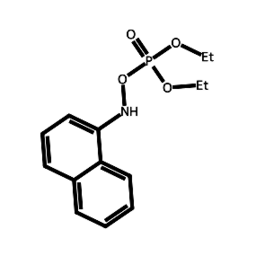 CCOP(=O)(OCC)ONc1cccc2ccccc12